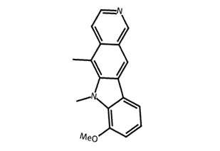 COc1cccc2c3cc4cnccc4c(C)c3n(C)c12